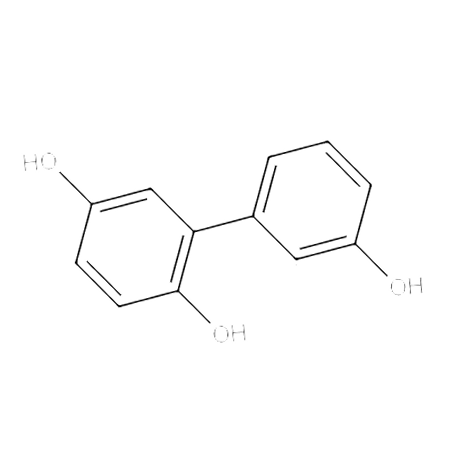 Oc1[c]c(-c2cc(O)ccc2O)ccc1